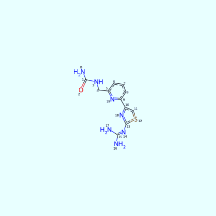 NC(=O)NCc1cccc(-c2csc(N=C(N)N)n2)n1